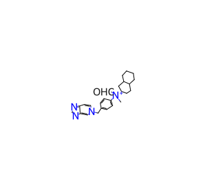 C[N+](C=O)(c1ccc(Cn2ccc3ncnc-3c2)cc1)C1CCC2CCCCC2C1